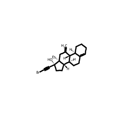 C=C1C[C@@]2(CC)[C@@H](CC[C@@]2(O)C#CBr)[C@@H]2CCC3=CCCC[C@@H]3[C@@H]12